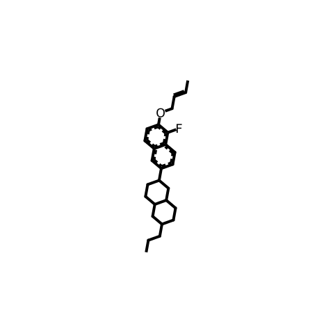 CC=CCOc1ccc2cc(C3CCC4CC(CCC)CCC4C3)ccc2c1F